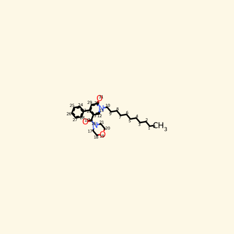 CCCCCCCCCCCn1cc(C(=O)N2CCOCC2)c(-c2ccccc2)cc1=O